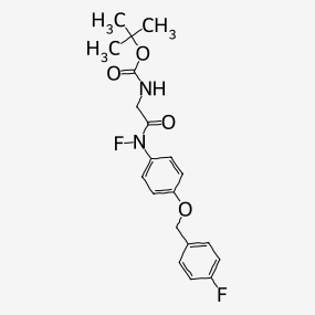 CC(C)(C)OC(=O)NCC(=O)N(F)c1ccc(OCc2ccc(F)cc2)cc1